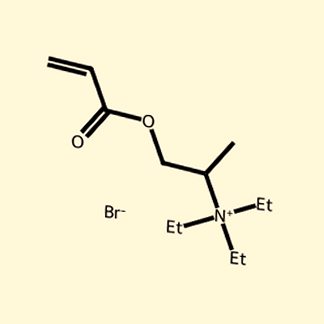 C=CC(=O)OCC(C)[N+](CC)(CC)CC.[Br-]